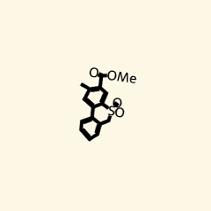 COC(=O)c1cc2c(cc1C)-c1ccccc1CS2(=O)=O